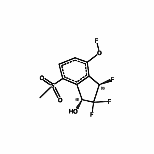 CS(=O)(=O)c1ccc(OF)c2c1[C@H](O)C(F)(F)[C@@H]2F